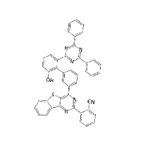 N#Cc1ccccc1-c1nc(-c2cccc(-c3c(O)cccc3-c3nc(-c4ccccc4)nc(-c4ccccc4)n3)c2)c2sc3ccccc3c2n1